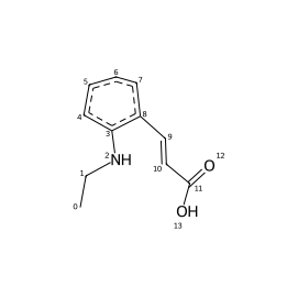 CCNc1ccccc1/C=C/C(=O)O